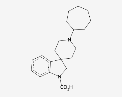 O=C(O)N1CC2(CCN(C3CCCCCC3)CC2)c2ccccc21